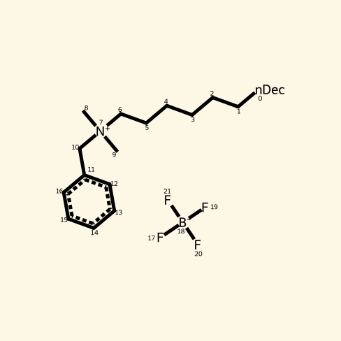 CCCCCCCCCCCCCCCC[N+](C)(C)Cc1ccccc1.F[B-](F)(F)F